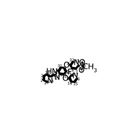 CS(=O)(=O)c1ccc(Oc2cc(Oc3cccnc3F)c3nc(-c4ccccn4)[nH]c3c2)cn1